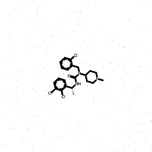 C[C@@H](NC(=O)N(Cc1ccccc1Cl)C1CCN(C)CC1)c1cccc(Cl)c1Cl